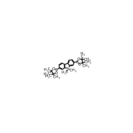 CC1(C)OB(c2ccc3c(c2)[Si](C)(C)c2cc(B4OC(C)(C)C(C)(C)O4)ccc2-3)OC1(C)C